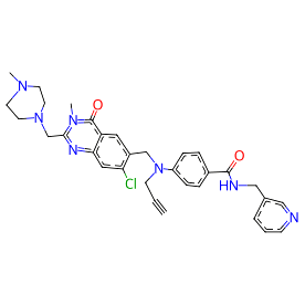 C#CCN(Cc1cc2c(=O)n(C)c(CN3CCN(C)CC3)nc2cc1Cl)c1ccc(C(=O)NCc2cccnc2)cc1